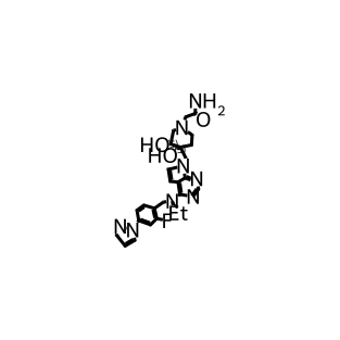 CCN(Cc1ccc(-n2cccn2)cc1F)c1ncnc2c1ccn2C[C@@]1(O)CCN(CC(N)=O)C[C@@H]1O